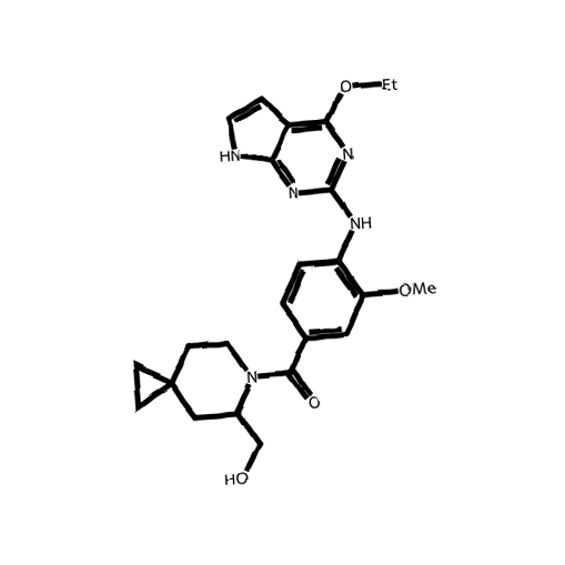 CCOc1nc(Nc2ccc(C(=O)N3CCC4(CC4)CC3CO)cc2OC)nc2[nH]ccc12